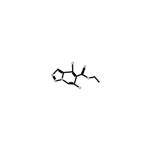 CCOC(=O)c1c(Cl)cn2nncc2c1Cl